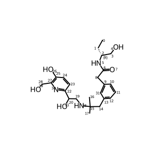 CC[C@H](CO)NC(=O)Cc1cccc(CC(C)(C)NCC(O)c2ccc(O)c(CO)n2)c1